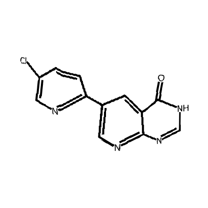 O=c1[nH]cnc2ncc(-c3ccc(Cl)cn3)cc12